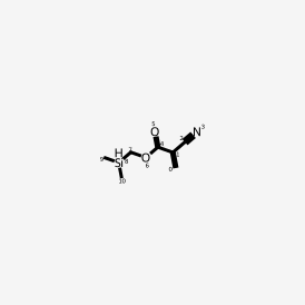 C=C(C#N)C(=O)OC[SiH](C)C